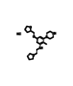 Cc1c(NCCN2CCCC2)cc(OCC2CCCO2)cc1N1CCNCC1.Cl